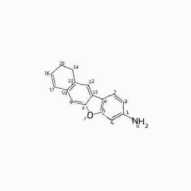 Nc1ccc2c(c1)oc1cc3c(cc12)CCC=C3